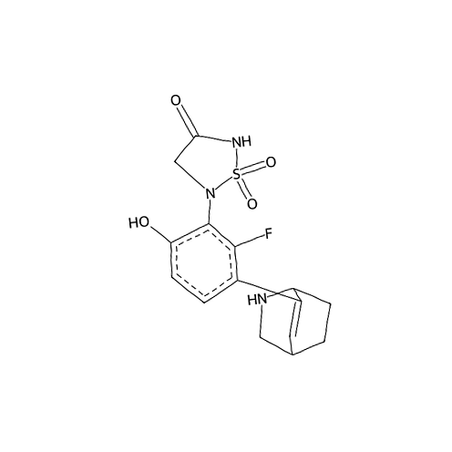 O=C1CN(c2c(O)ccc(C3=CC4CCC3NC4)c2F)S(=O)(=O)N1